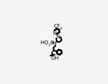 CC(C)(O)C[C@@H](CCN(C(=O)O)[C@H]1CCCN(c2ccc(C(F)(F)F)cn2)C1)c1ccccc1